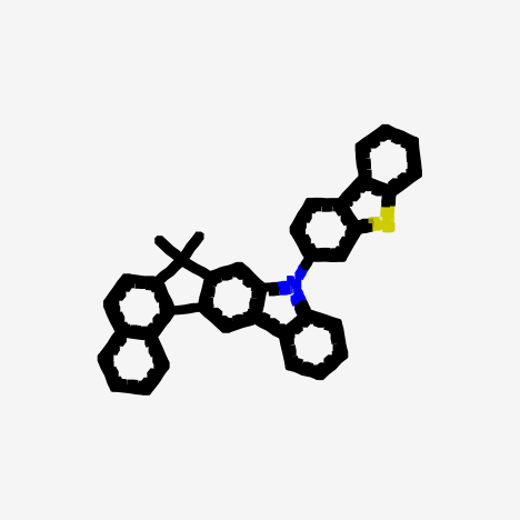 CC1(C)c2cc3c(cc2-c2c1ccc1ccccc21)c1ccccc1n3-c1ccc2c(c1)sc1ccccc12